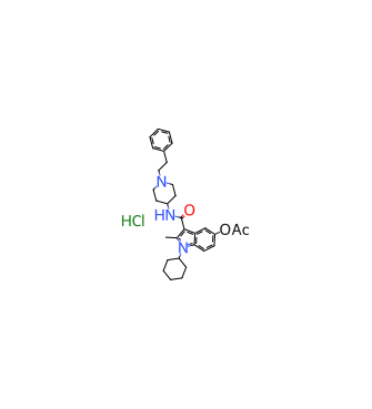 CC(=O)Oc1ccc2c(c1)c(C(=O)NC1CCN(CCc3ccccc3)CC1)c(C)n2C1CCCCC1.Cl